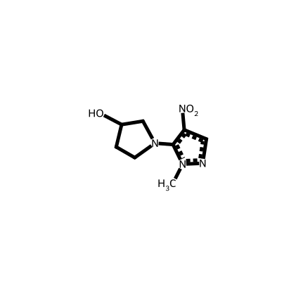 Cn1ncc([N+](=O)[O-])c1N1CCC(O)C1